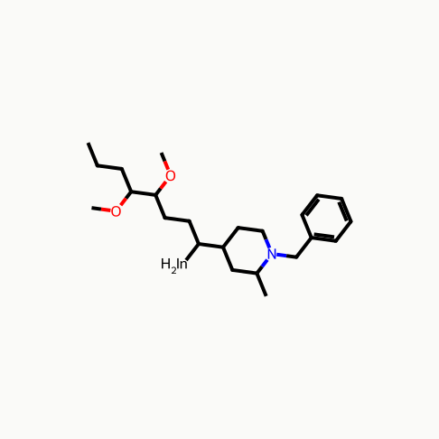 CCCC(OC)C(CC[CH]([InH2])C1CCN(Cc2ccccc2)C(C)C1)OC